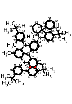 Cc1cc2c3c(c1)N(c1ccc(C(C)(C)C)cc1-c1ccccc1)c1cc4c(cc1B3c1ccc(N3c5ccc(C(C)(C)C)cc5C5(c6ccccc6)CCCCC35C)cc1N2c1ccc(C(C)(C)C)cc1C)CC(C)(C)C4